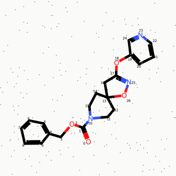 O=C(OCc1ccccc1)N1CCC2(CC1)CC(Oc1cccnc1)=NO2